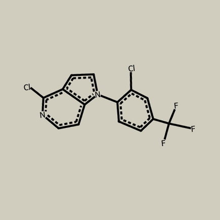 FC(F)(F)c1ccc(-n2ccc3c(Cl)nccc32)c(Cl)c1